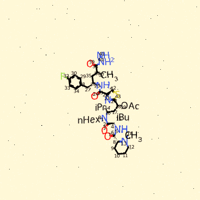 CCCCCCN(C(=O)[C@@H](NC(=O)[C@H]1CCCCN1C)[C@H](C)CC)[C@H](C[C@@H](OC(C)=O)c1nc(C(=O)N[C@@H](Cc2ccc(F)cc2)C[C@H](C)C(=O)NN)cs1)C(C)C